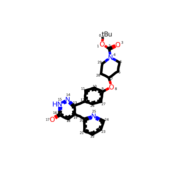 CC(C)(C)OC(=O)N1CCC(Oc2ccc(-c3n[nH]c(=O)cc3-c3ccccn3)cc2)CC1